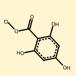 O=C(OCl)c1c(O)cc(O)cc1O